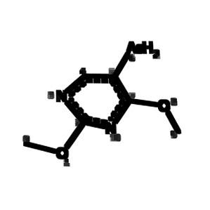 COc1ncc([AsH2])c(OC)n1